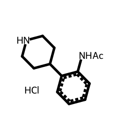 CC(=O)Nc1ccccc1C1CCNCC1.Cl